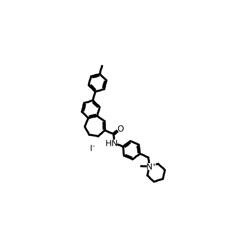 Cc1ccc(-c2ccc3c(c2)C=C(C(=O)Nc2ccc(C[N+]4(C)CCCCC4)cc2)CCC3)cc1.[I-]